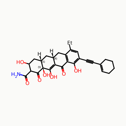 CCc1cc(C#CC2=CCCCC2)c(O)c2c1C[C@H]1C[C@H]3CC(O)C(C(N)=O)C(=O)[C@@]3(O)C(O)=C1C2=O